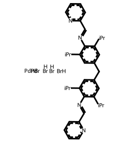 Br.Br.Br.Br.CC(C)c1cc(Cc2cc(C(C)C)c(N=Cc3ccccn3)c(C(C)C)c2)cc(C(C)C)c1N=Cc1ccccn1.[Pd].[Pd]